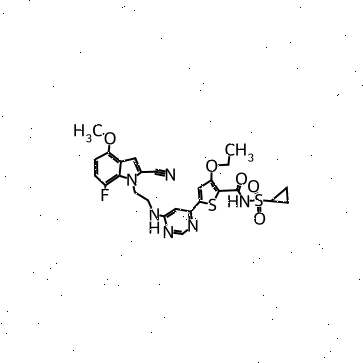 CCOc1cc(-c2cc(NCCn3c(C#N)cc4c(OC)ccc(F)c43)ncn2)sc1C(=O)NS(=O)(=O)C1CC1